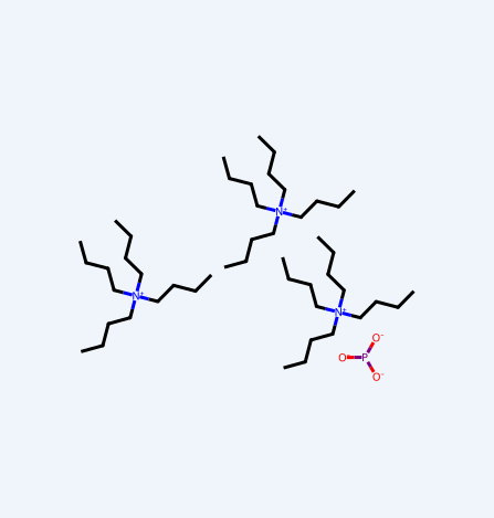 CCCC[N+](CCCC)(CCCC)CCCC.CCCC[N+](CCCC)(CCCC)CCCC.CCCC[N+](CCCC)(CCCC)CCCC.[O-]P([O-])[O-]